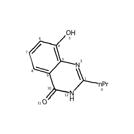 CCCc1nc2c(O)cccc2c(=O)[nH]1